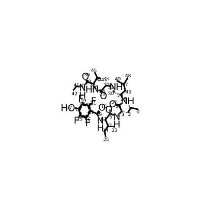 CCC[C@H](NC(=O)[C@@H](NC(=O)c1c(F)c(F)c(O)c(F)c1F)[C@@H](C)CC)C(=O)N[C@H](CN[C@@H](C)C(=O)N[C@H](C(=O)NCC)C(C)C)CC(C)C